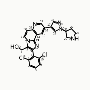 OCc1c(-c2c(Cl)cccc2Cl)nc2c3cc(-c4cnn(C5CCNC5)c4)cnc3ccn12